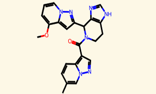 COc1cccn2nc(C3c4nc[nH]c4CCN3C(=O)c3cnn4cc(C)ccc34)cc12